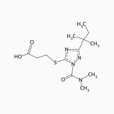 CCC(C)(C)c1nc(SCCC(=O)O)n(C(=O)N(C)C)n1